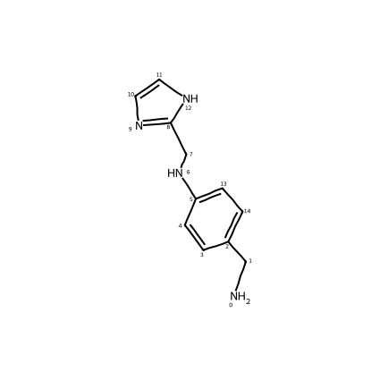 NCc1ccc(NCc2ncc[nH]2)cc1